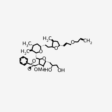 C=CCOC/C=C/[C@H]1CC(=C)C(CC[C@H]2C[C@@H](C)C(=C)[C@@H](CC3O[C@H](C[C@H](O)CO)[C@H](OC)[C@H]3CS(=O)(=O)c3ccccc3)O2)O1